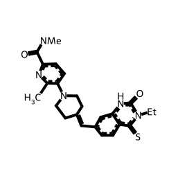 CCn1c(=O)[nH]c2cc(C=C3CCN(c4ccc(C(=O)NC)nc4C)CC3)ccc2c1=S